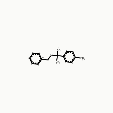 Cc1ccc(C(C)(C)NCc2ccccc2)cc1